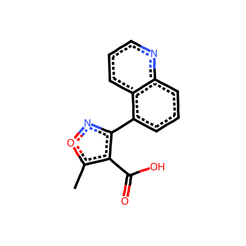 Cc1onc(-c2cccc3ncccc23)c1C(=O)O